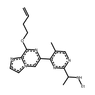 C=CCCOc1nc(-c2nc(C(C)NCC)ncc2C)cn2ccnc12